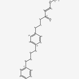 NON=NC(=O)CCCc1ccc(CCCCc2ccccc2)cc1